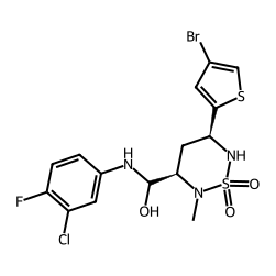 CN1[C@@H](C(O)Nc2ccc(F)c(Cl)c2)C[C@@H](c2cc(Br)cs2)NS1(=O)=O